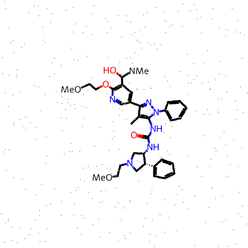 CNC(O)c1cc(-c2nn(-c3ccccc3)c(NC(=O)N[C@@H]3CN(CCOC)C[C@H]3c3ccccc3)c2C)cnc1OCCOC